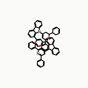 C1=CCC(C2CC(n3c4ccccc4c4cccc(-c5cccc(-c6cccc7c8ccccc8n(-c8cc(-c9ccccc9)nc(-c9ccccc9)c8)c67)c5)c43)=CC(c3ccccc3)=N2)C=C1